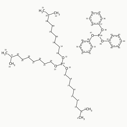 CC(C)CCCCCCCOP(OCCCCCCCC(C)C)OCCCCCCCC(C)C.c1ccc(OP(Oc2ccccc2)Oc2ccccc2)cc1